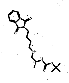 C[C@@H](CNCCCCN1C(=O)c2ccccc2C1=O)NC(=O)OC(C)(C)C